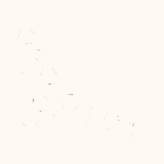 CC(=O)Nc1ccc(C(=O)Nc2ccc3c(c2)[nH]c2c(C(N)=O)ccc(-c4cccc(NC(=O)c5ccc(F)cc5)c4CN)c23)cc1